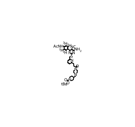 [2H]c1c([2H])c(-c2nc(SCc3cccc(CCC(=O)N4CCN(CC5CCN(C(=O)OC(C)(C)C)CC5)CC4)n3)nc(N)c2[N+]#[C-])c([2H])c([2H])c1NC(C)=O